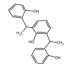 CC(c1ccccc1O)c1cccc(C(C)c2ccccc2O)c1O